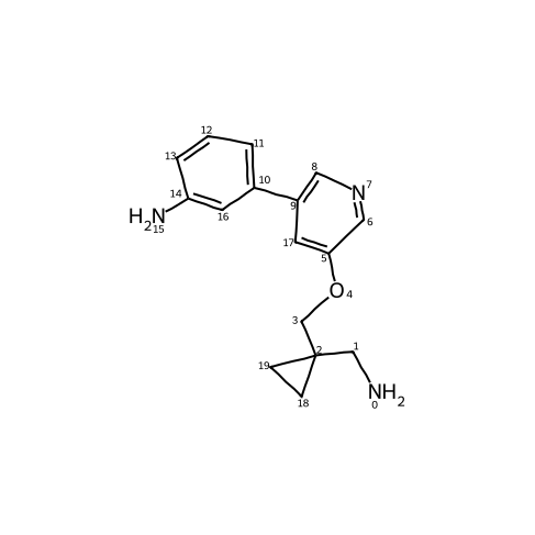 NCC1(COc2cncc(-c3cccc(N)c3)c2)CC1